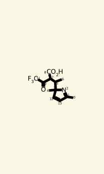 CC1=NC(C)(C(C)C(C(=O)O)C(=O)C(F)(F)F)C=C1